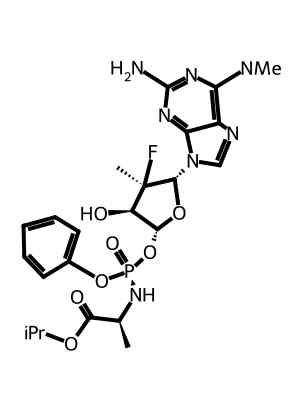 CNc1nc(N)nc2c1ncn2[C@@H]1O[C@H](O[P@@](=O)(N[C@@H](C)C(=O)OC(C)C)Oc2ccccc2)[C@@H](O)[C@@]1(C)F